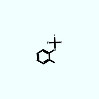 Fc1c[c]ccc1SC(F)(F)F